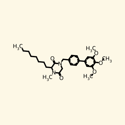 CCCCCCCCC1C(=O)N(Cc2ccc(-c3cc(OC)c(OC)c(OC)c3)cc2)CC(=O)N1C